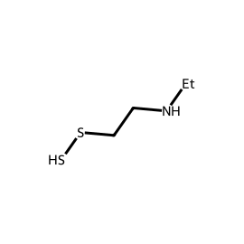 CCNCCSS